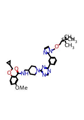 COc1ccc(OCC2CC2)c(C(=O)NCC2CCN(c3ncnc(-c4cccc(-c5nccn5COCC[Si](C)(C)C)c4)n3)CC2)c1